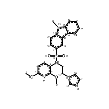 COc1ccc(N(CCn2ccnc2)S(=O)(=O)c2ccc3c(c2)c2ccccc2n3C)c(OC)n1